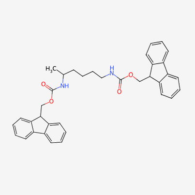 CC(CCCCNC(=O)OCC1c2ccccc2-c2ccccc21)NC(=O)OCC1c2ccccc2-c2ccccc21